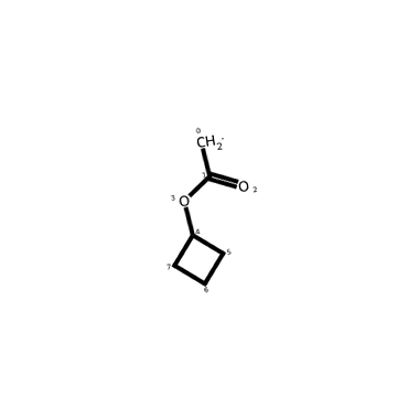 [CH2]C(=O)OC1CCC1